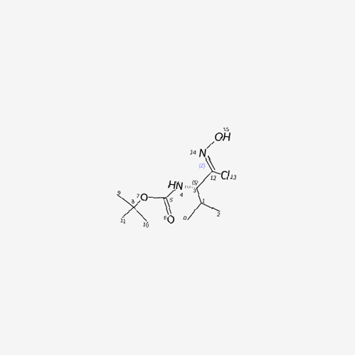 CC(C)[C@H](NC(=O)OC(C)(C)C)/C(Cl)=N/O